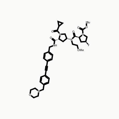 COCCN(C(=O)[C@@H]1C[C@H](F)CN1C(=O)OC(C)(C)C)[C@@H]1C[C@H](C(=O)NCc2ccc(C#Cc3ccc(CN4CCOCC4)cc3)cc2)N(C(=O)C2CC2)C1